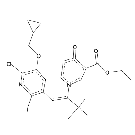 CCOC(=O)c1cn(/C(=C\c2cc(OCC3CC3)c(Cl)nc2I)C(C)(C)C)ccc1=O